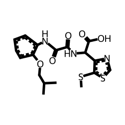 CSc1scnc1C(NC(=O)C(=O)Nc1ccccc1OCC(C)C)C(=O)O